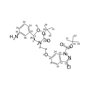 CO[C@@H](CN(CCOc1ccc2c(Cl)nn(C(=O)OC(C)(C)C)c2c1)C(=O)OC(C)(C)C)c1cccc(N)c1